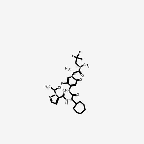 CC(C)n1nccc1C(=O)N[C@H](C(=O)Nc1cc(=O)n([C@H](C)C(=O)N(C)CC(F)(F)F)cc1F)C1CCCCCC1